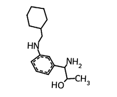 CC(O)C(N)c1cccc(NCC2CCCCC2)c1